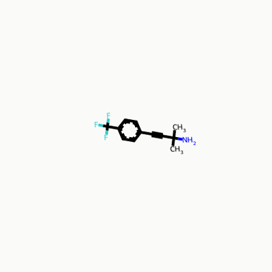 CC(C)(N)C#Cc1ccc(C(F)(F)F)cc1